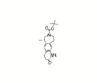 CC1CN(C(=O)OC(C)(C)C)CCc2cc3c(cc21)CCC(=O)N3